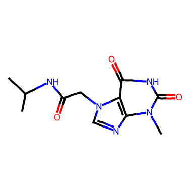 CC(C)NC(=O)Cn1cnc2c1c(=O)[nH]c(=O)n2C